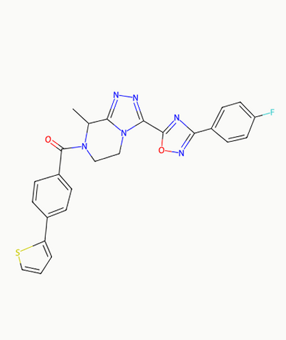 CC1c2nnc(-c3nc(-c4ccc(F)cc4)no3)n2CCN1C(=O)c1ccc(-c2cccs2)cc1